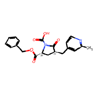 Cc1cc(C[C@H]2C[C@H](C(=O)OCc3ccccc3)N(C(=O)O)C2=O)ccn1